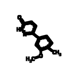 COc1cc(-c2ccc(=O)[nH]n2)ccc1C